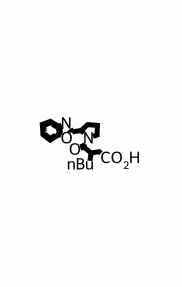 CCCCC(CC(=O)O)C(=O)N1CCCC1c1nc2ccccc2o1